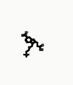 C[Si](C)(C)CCOCn1c(CCC(=O)O)nc2cc([N+](=O)[O-])ccc21